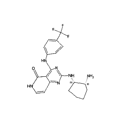 N[C@@H]1CCCC[C@@H]1Nc1nc(Nc2ccc(C(F)(F)F)cc2)c2c(=O)[nH]ccc2n1